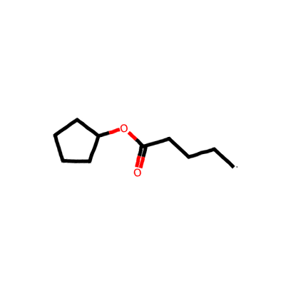 [CH2]CCCC(=O)OC1CCCC1